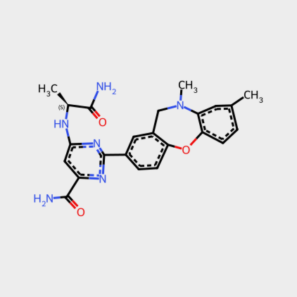 Cc1ccc2c(c1)N(C)Cc1cc(-c3nc(N[C@@H](C)C(N)=O)cc(C(N)=O)n3)ccc1O2